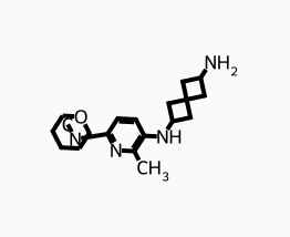 Cc1nc(N2CC3CCC2CO3)ccc1NC1CC2(CC(N)C2)C1